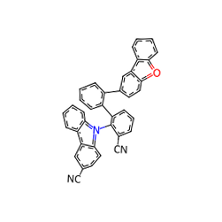 N#Cc1ccc2c(c1)c1ccccc1n2-c1c(C#N)cccc1-c1ccccc1-c1ccc2oc3ccccc3c2c1